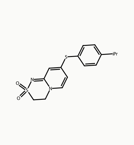 CC(C)c1ccc(SC2=CC3=NS(=O)(=O)CCN3C=C2)cc1